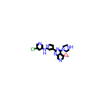 COc1cncc2nc(-c3ccnc(Nc4cncc(Cl)c4)c3)nc(N3CCNCC3)c12